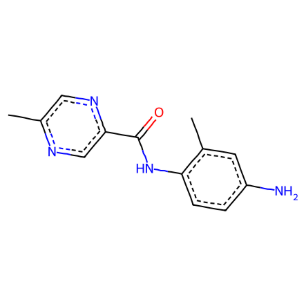 Cc1cnc(C(=O)Nc2ccc(N)cc2C)cn1